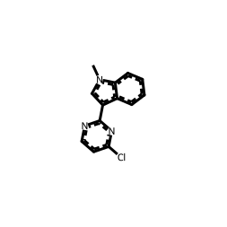 Cn1cc(-c2nccc(Cl)n2)c2ccccc21